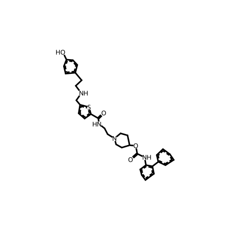 O=C(Nc1ccccc1-c1ccccc1)OC1CCN(CCNC(=O)c2ccc(CNCCc3ccc(O)cc3)s2)CC1